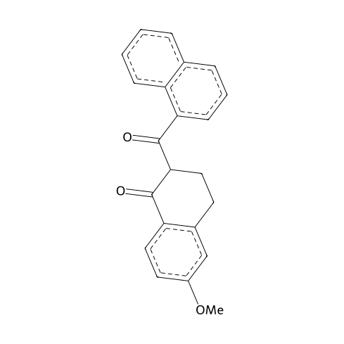 COc1ccc2c(c1)CCC(C(=O)c1cccc3ccccc13)C2=O